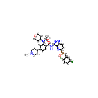 CN1CCC(c2ccc(C(=O)Nc3n[nH]c4ccc([S+]([O-])Cc5cc(F)ccc5F)nc34)c(N(C(=O)C(F)(F)F)C3CCOCC3)c2)CC1